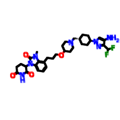 Cn1c(=O)n(C2CCC(=O)NC2=O)c2cccc(CCCOC3CCN(C[C@H]4CC[C@H](n5cc(N)c(C(F)F)n5)CC4)CC3)c21